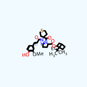 CCC(C)(C)C12CCC1CC2OC(=O)C1CCCN1C(=O)C1(NC(=O)/C=C/c2ccc(O)c(OC)c2)CCSCC1